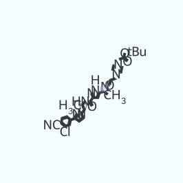 C/C(=N\OCCN1CCN(CC(=O)OC(C)(C)C)CC1)c1cc(C(=O)N[C@@H](C)Cn2ccc(-c3ccc(C#N)c(Cl)c3)n2)n[nH]1